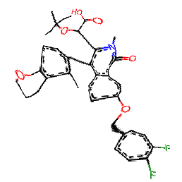 Cc1c(-c2c(C(OC(C)(C)C)C(=O)O)n(C)c(=O)c3cc(OCc4ccc(F)c(F)c4)ccc23)ccc2c1CCCO2